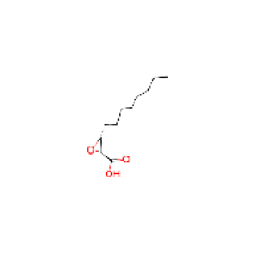 CCCCCCCC[C@H]1O[C@@H]1C(=O)O